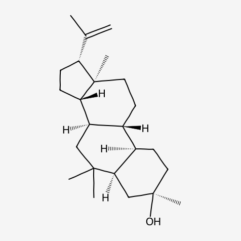 C=C(C)[C@H]1CC[C@H]2[C@@H]3CC(C)(C)[C@@H]4C[C@](C)(O)CC[C@@H]4[C@H]3CC[C@]12C